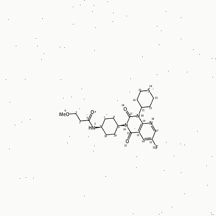 COCCC(=O)N[C@H]1CC[C@@H](n2c(=O)c3cc(F)cnc3n(C3CCSCC3)c2=O)CC1